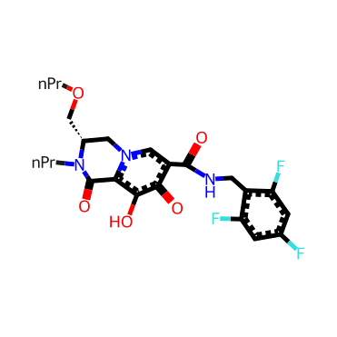 CCCOC[C@@H]1Cn2cc(C(=O)NCc3c(F)cc(F)cc3F)c(=O)c(O)c2C(=O)N1CCC